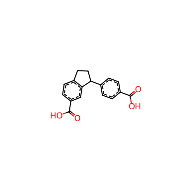 O=C(O)c1ccc(C2CCc3ccc(C(=O)O)cc32)cc1